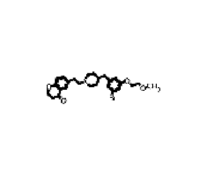 COCCOc1cc(Br)cc(CC2CCN(CCc3ccc4c(c3)C(=O)CCO4)CC2)c1